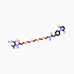 CC(C)[C@H](NC(=O)CCOCCOCCOCCOCCNC(=O)Cc1ccc(N2C(=O)C=CC2=O)cc1)C(N)=O